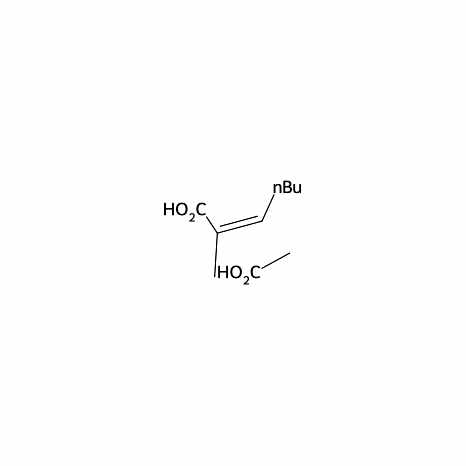 CC(=O)O.CCCC/C=C(/C)C(=O)O